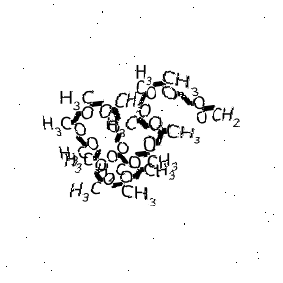 C=CC(=O)OCCOCC(C)OCC(C)OCC(C)OCC(C)OCC(C)OCC(C)OCC(C)OCC(C)OCC(C)OCC(C)OCC(C)OCC(C)OCC(C)OCCOC(=O)C=C